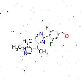 C=C(c1cnn(C)c1)c1nc(-c2c(F)cc(C=O)cc2F)ncc1C